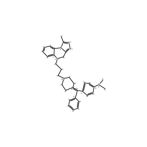 Cc1nnc2n1-c1ccccc1N(CCCN1CCC(=C(c3ccccc3)c3ccc(N(C)C)cc3)CC1)C2